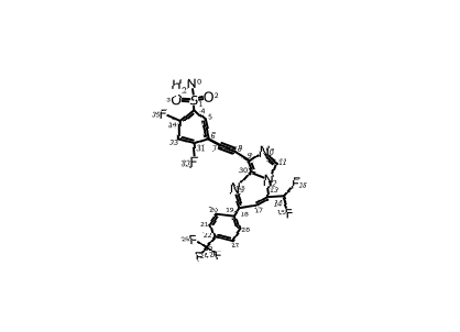 NS(=O)(=O)c1cc(C#Cc2ncn3c(C(F)F)cc(-c4ccc(C(F)(F)F)cc4)nc23)c(F)cc1F